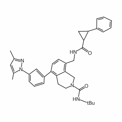 Cc1cc(C)n(-c2cccc(-c3ccc(CNC(=O)C4CC4c4ccccc4)c4c3CCN(C(=O)NC(C)(C)C)C4)c2)n1